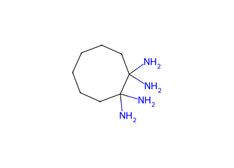 NC1(N)CCCCCCC1(N)N